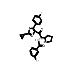 O=C(N[C@H](C(=O)c1nc(C2CC2)sc1-c1ccc(F)cc1)C1CCCN1)c1cccc(Br)c1